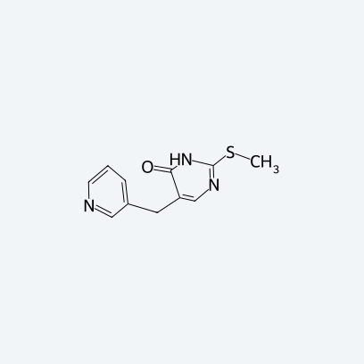 CSc1ncc(Cc2cccnc2)c(=O)[nH]1